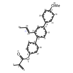 C=C(C)C(=O)Oc1ccc(-c2ccc(-c3ccc(OC)cc3)cc2/C=C/C)cc1